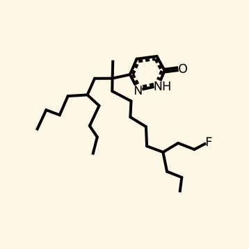 CCCCC(CCCC)CC(C)(CCCCCC(CCC)CCF)c1ccc(=O)[nH]n1